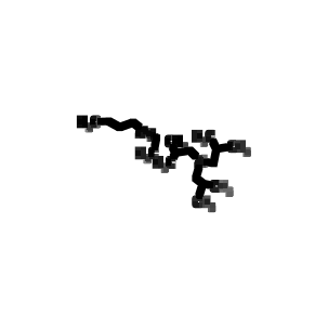 CC(C)[CH2][Al]([CH2]C(C)C)[CH2]C(C)C.CCC[CH2][Mg][CH2]C